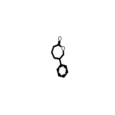 O=C1CCCC(c2ccccc2)CO1